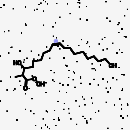 CC(C(=O)OO)C(O)CCCCC/C=C\CCCCCCCCO